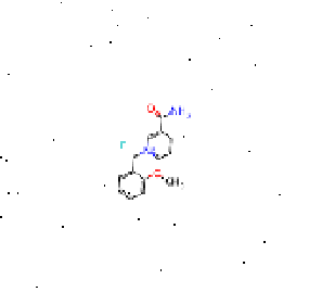 COc1ccccc1C[n+]1cccc(C(N)=O)c1.[F-]